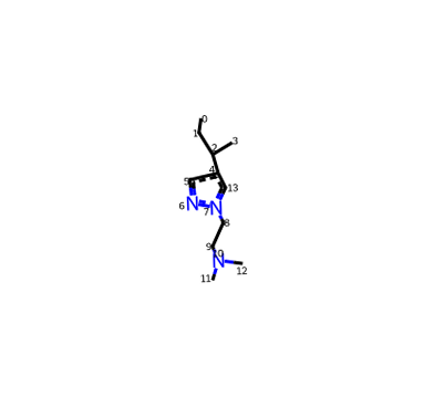 CCC(C)c1cnn(CCN(C)C)c1